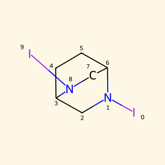 IN1CC2CCC1CN2I